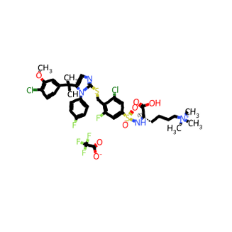 COc1cc(C(C)(C)c2cnc(SCc3c(F)cc(S(=O)(=O)N[C@@H](CCCC[N+](C)(C)C)C(=O)O)cc3Cl)n2-c2ccc(F)cc2)ccc1Cl.O=C([O-])C(F)(F)F